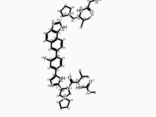 COC(=O)N[C@H](C(=O)N1C[Si]2(CCCC2)C[C@H]1c1ncc(-c2ccc(-c3ccc4c(ccc5nc([C@@H]6CCCN6C[C@@H](NC(=O)CO)C(C)C)[nH]c54)c3)c(F)c2)[nH]1)C(C)C